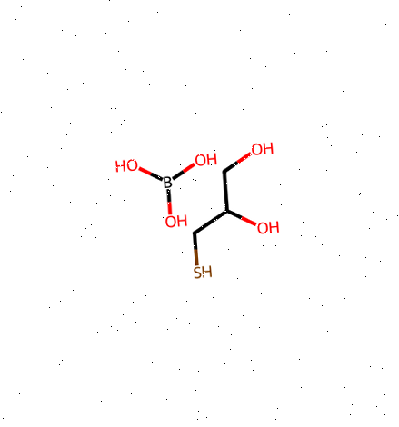 OB(O)O.OCC(O)CS